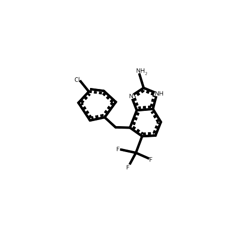 Nc1nc2c(Cc3ccc(Cl)cc3)c(C(F)(F)F)ccc2[nH]1